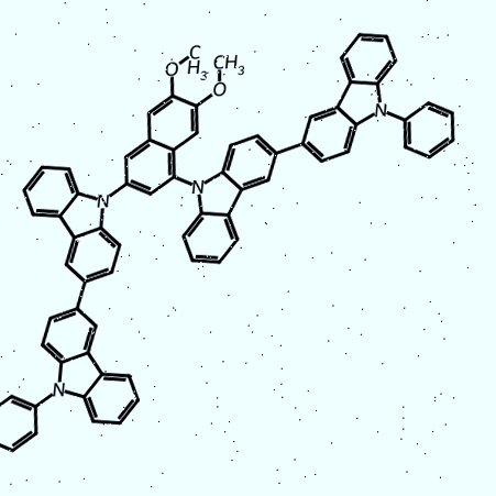 COc1cc2cc(-n3c4ccccc4c4cc(-c5ccc6c(c5)c5ccccc5n6-c5ccccc5)ccc43)cc(-n3c4ccccc4c4cc(-c5ccc6c(c5)c5ccccc5n6-c5ccccc5)ccc43)c2cc1OC